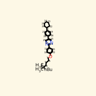 CCCC[Si](C)(C)CCCCOc1ccc(-c2ncc(-c3ccc(C4CCCCC4)cc3)cn2)cc1